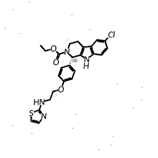 CCOC(=O)N1CCc2c([nH]c3ccc(Cl)cc23)[C@@H]1c1ccc(OCCNc2nccs2)cc1